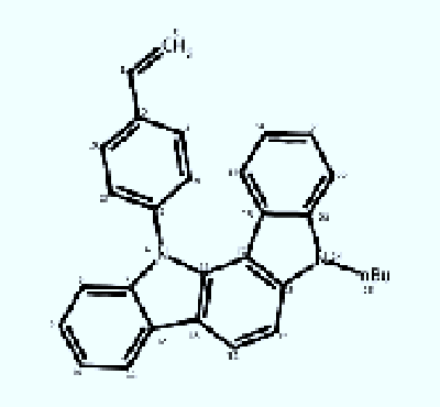 C=Cc1ccc(-n2c3ccccc3c3ccc4c(c5ccccc5n4CCCC)c32)cc1